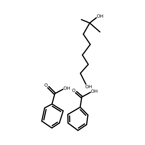 CC(C)(O)CCCCCO.O=C(O)c1ccccc1.O=C(O)c1ccccc1